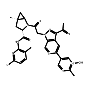 CC(=O)c1nn(CC(=O)N2C3C[C@]3(C)C[C@H]2C(=O)Nc2nc(Br)ccc2C)c2cnc(-c3cnc(C)[n+](O)c3)cc12